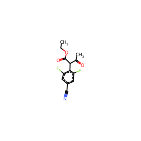 CCOC(=O)C(C(C)=O)c1c(F)cc(C#N)cc1F